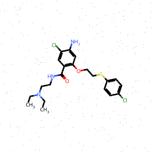 CCN(CC)CCNC(=O)c1cc(Cl)c(N)cc1OCCSc1ccc(Cl)cc1